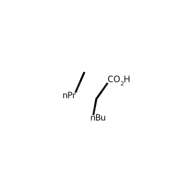 CCCC.CCCCCC(=O)O